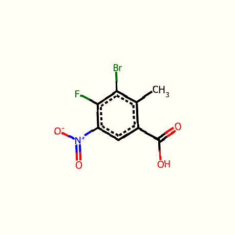 Cc1c(C(=O)O)cc([N+](=O)[O-])c(F)c1Br